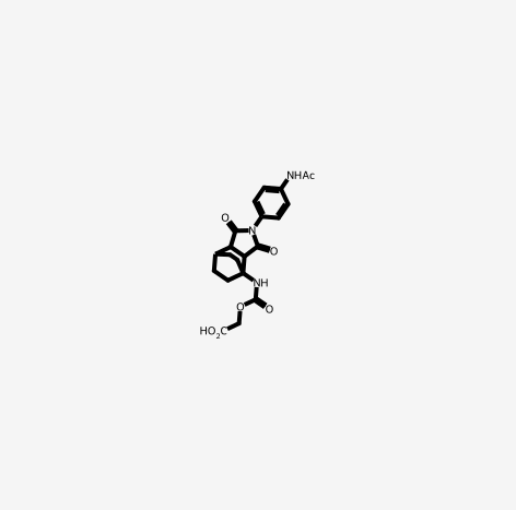 CC(=O)Nc1ccc(N2C(=O)C3C4CCC(NC(=O)OCC(=O)O)(CC4)C3C2=O)cc1